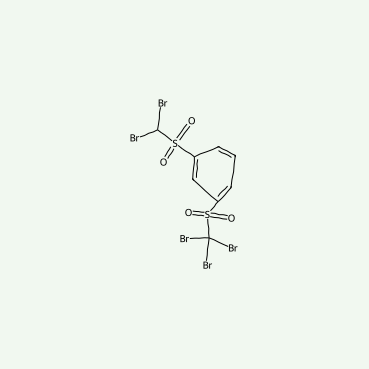 O=S(=O)(c1cccc(S(=O)(=O)C(Br)(Br)Br)c1)C(Br)Br